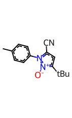 Cc1ccc(-n2c(C#N)cc(C(C)(C)C)[n+]2[O-])cc1